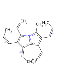 C=Cc1c(/C=C\C)c(C)n2c(C=C)c(/C=C\C)/c(=C/C)c12